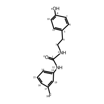 O=C(NCCc1ccc(O)cc1)Nc1cccc(F)c1